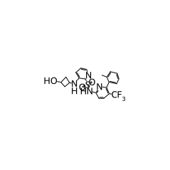 Cc1ccccc1-c1nc(NS(=O)(=O)c2ncccc2NC2CC(O)C2)ccc1C(F)(F)F